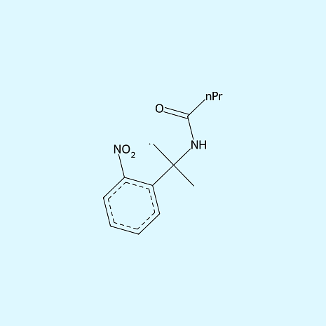 [CH2]C(C)(NC(=O)CCC)c1ccccc1[N+](=O)[O-]